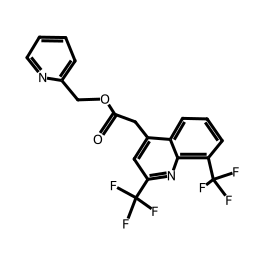 O=C(Cc1cc(C(F)(F)F)nc2c(C(F)(F)F)cccc12)OCc1ccccn1